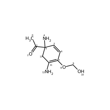 CC(=O)C1(N)C=CC(OCO)=C(N)C1